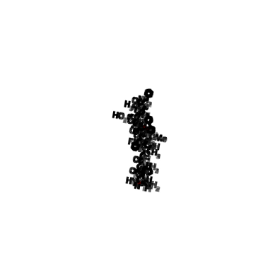 CCc1cc(OC)ccc1-c1ccc(C[C@H](NC(=O)[C@H](CC(=O)O)NC(=O)[C@H](CO)NC(=O)C(NC(=O)C(C)(Cc2c(F)cccc2F)NC(=O)[C@@H](NC(=O)CNC(=O)[C@H](CCC(N)=O)NC(=O)[C@]2(C)CCCN2C(=O)[C@H](Cc2cnc[nH]2)NC(=O)[C@@H](N)C(C)C)[C@@H](C)O)[C@@H](C)O)C(=O)NC(C)(CCCc2ccccc2)C(N)=O)cc1